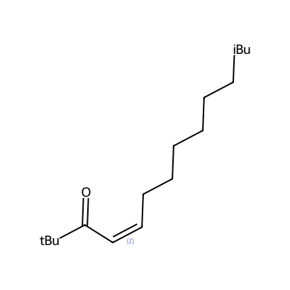 CCC(C)CCCCCC/C=C\C(=O)C(C)(C)C